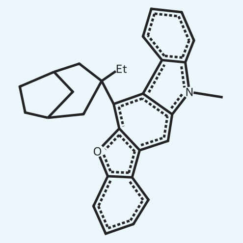 CCC1(c2c3oc4ccccc4c3cc3c2c2ccccc2n3C)CC2CCC(C2)C1